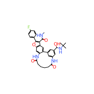 CNC(=O)c1c(-c2ccc(F)cc2)oc2cc3c(cc12)-c1cc(cc(C(O)NC(C)(C)C)c1)NC(=O)CCCCC(=O)N3